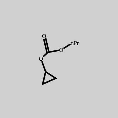 [CH2]CCOC(=O)OC1CC1